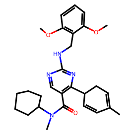 COc1cccc(OC)c1CNc1ncc(C(=O)N(C)C2CCCCC2)c(C2C=CC(C)=CC2)n1